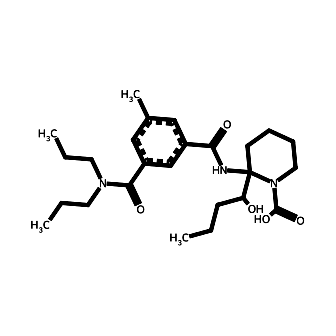 CCCC(O)C1(NC(=O)c2cc(C)cc(C(=O)N(CCC)CCC)c2)CCCCN1C(=O)O